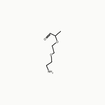 CC([C]=O)OCCOCCN